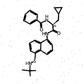 CC(C)(C)NSc1cccc2c(NC(=O)[C@H](CC3CC3)NC(=O)c3ccccc3)cccc12